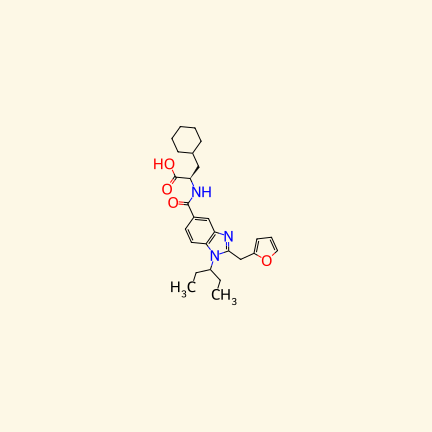 CCC(CC)n1c(Cc2ccco2)nc2cc(C(=O)N[C@H](CC3CCCCC3)C(=O)O)ccc21